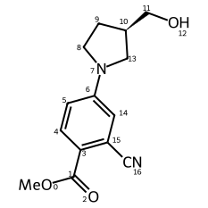 COC(=O)c1ccc(N2CC[C@@H](CO)C2)cc1C#N